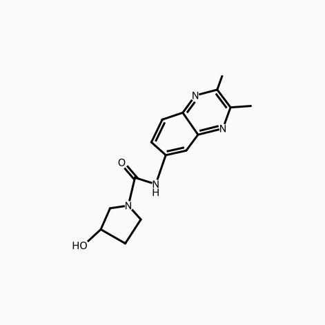 Cc1nc2ccc(NC(=O)N3CCC(O)C3)cc2nc1C